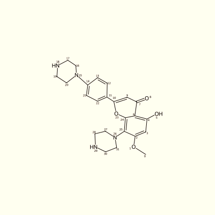 COc1cc(O)c2c(=O)cc(-c3ccc(N4CCNCC4)cc3)oc2c1N1CCNCC1